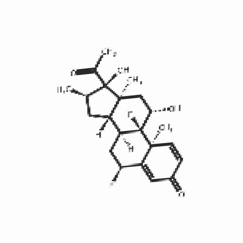 CC(=O)[C@@]1(O)[C@H](C)C[C@H]2[C@@H]3C[C@H](F)C4=CC(=O)C=C[C@]4(C)[C@@]3(F)[C@@H](O)C[C@@]21C